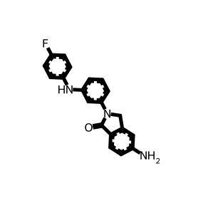 Nc1ccc2c(c1)CN(c1cccc(Nc3ccc(F)cc3)c1)C2=O